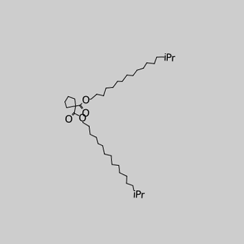 CC(C)CCCCCCCCCCCCCCOC(=O)C1(C(=O)OCCCCCCCCCCCCCCC(C)C)CCCC1